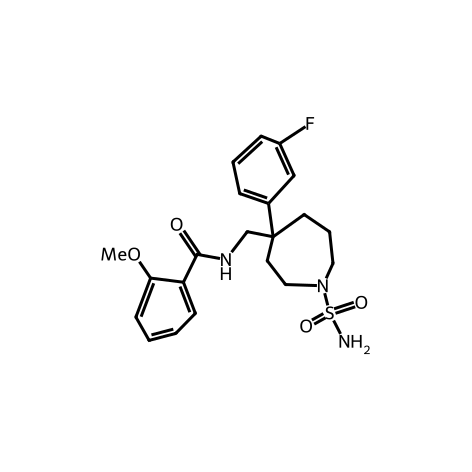 COc1ccccc1C(=O)NCC1(c2cccc(F)c2)CCCN(S(N)(=O)=O)CC1